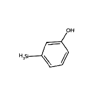 Oc1cccc([SiH3])c1